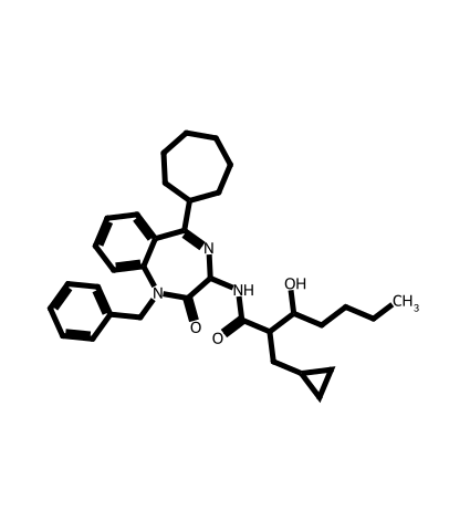 CCCCC(O)C(CC1CC1)C(=O)NC1N=C(C2CCCCCC2)c2ccccc2N(Cc2ccccc2)C1=O